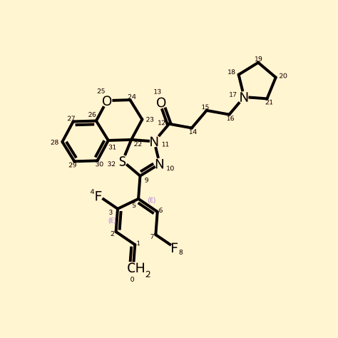 C=C/C=C(F)\C(=C/CF)C1=NN(C(=O)CCCN2CCCC2)C2(CCOc3ccccc32)S1